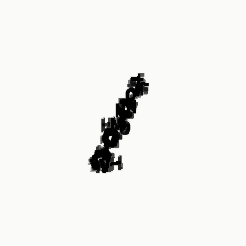 O=C(NC1=CCC([C@@H]2CCCNC2)C=C1)c1cnc(OCC(F)(F)F)cn1